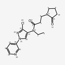 CCN(C(=O)CCN1CCCC1=O)c1cn(-c2cccnc2)nc1Cl